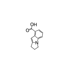 O=C(O)c1cccc2c1cc1n2CCC1